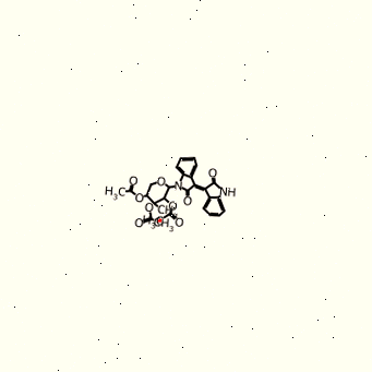 CC(=O)OC1COC(N2C(=O)/C(=C3/C(=O)Nc4ccccc43)c3ccccc32)C(OC(C)=O)C1(C)OC(C)=O